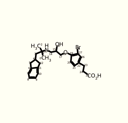 CC(C)(CC1Cc2ccccc2C1)NCC(O)COc1ccc(CCC(=O)O)cc1Br